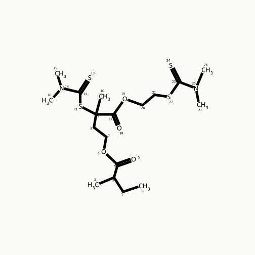 CCC(C)C(=O)OCCC(C)(SC(=S)N(C)C)C(=O)OCCSC(=S)N(C)C